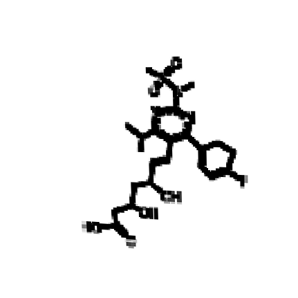 CC(C)c1nc(N(C)S(C)(=O)=O)nc(C2=CC=C(F)CC2)c1/C=C/[C@@H](O)C[C@@H](O)CC(=O)O